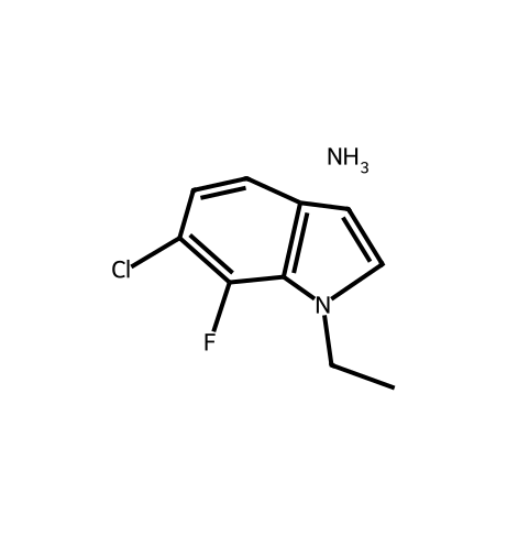 CCn1ccc2ccc(Cl)c(F)c21.N